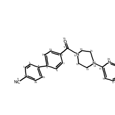 N#Cc1ccc(-c2ccc(C(=O)N3CCN(c4ccccn4)CC3)cc2)cc1